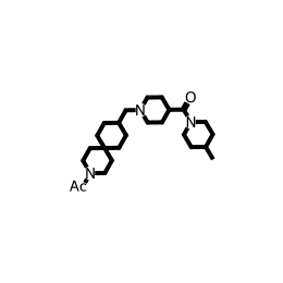 CC(=O)N1CCC2(CCC(CN3CCC(C(=O)N4CCC(C)CC4)CC3)CC2)CC1